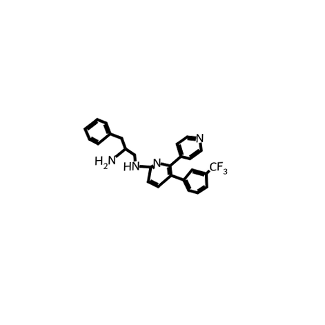 NC(CNc1ccc(-c2cccc(C(F)(F)F)c2)c(-c2ccncc2)n1)Cc1ccccc1